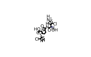 Nc1nc(/C(=N/O)C(=O)NC2C(=O)N3C(C(=O)O)=C(Sc4snnc4Cl)CCC23)c(Cl)s1